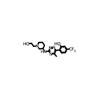 Cc1nc(NC2CCCN(CCO)C2)nnc1-c1ccc(C(F)(F)F)cc1O